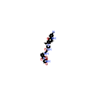 CCc1cc2c(cc1N1CCC(NC(=O)CCNc3cccc4c3C(=O)N(C3CCC(=O)NC3=O)C4=O)CC1)C(C)(C)c1[nH]c3cc(C#N)ccc3c1C2=O